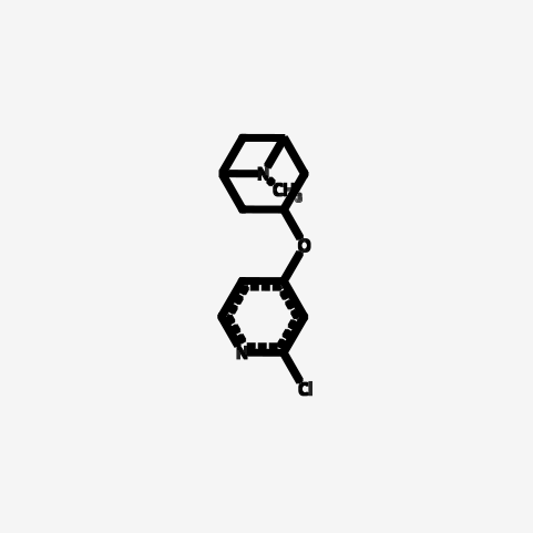 CN1C2CC(Oc3ccnc(Cl)c3)CC1C2